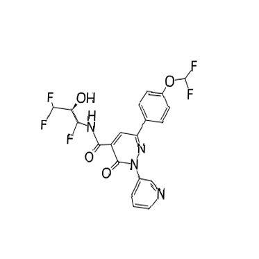 O=C(NC(F)[C@H](O)C(F)F)c1cc(-c2ccc(OC(F)F)cc2)nn(-c2cccnc2)c1=O